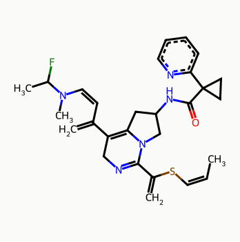 C=C(/C=C\N(C)C(C)F)C1=C2CC(NC(=O)C3(c4ccccn4)CC3)CN2C(C(=C)S/C=C\C)=NC1